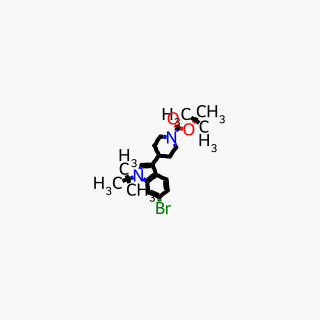 CC(C)(C)OC(=O)N1CCC(c2cn(C(C)(C)C)c3cc(Br)ccc23)CC1